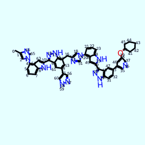 Cc1cn(-c2cccc3[nH]c(-c4n[nH]c5c(Cc6cn(-c7cccc8[nH]c(-c9n[nH]c%10ccc(-c%11cncc(OC%12CCCCC%12)c%11)cc9%10)cc78)cn6)cc(-c6cnn(C)c6)cc45)cc23)cn1